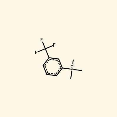 C[PH](C)(C)c1cccc(C(F)(F)F)c1